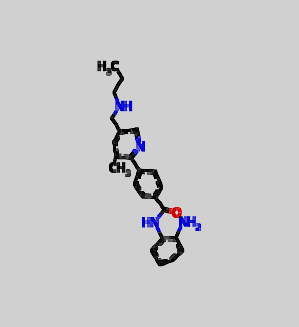 CCCNCc1cnc(-c2ccc(C(=O)Nc3ccccc3N)cc2)c(C)c1